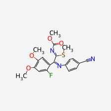 COC(=O)N=C(SC)C(=Nc1ccc(C#N)cc1)c1cc(OC)c(OC)cc1F